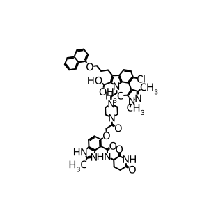 Cc1nc2c(C(=O)NC3CCC(=O)NC3=O)c(OCC(=O)N3CCN(CCn4c(C(O)O)c(CCCOc5cccc6ccccc56)c5ccc(Cl)c(-c6c(C)nn(C)c6C)c54)CC3)ccc2[nH]1